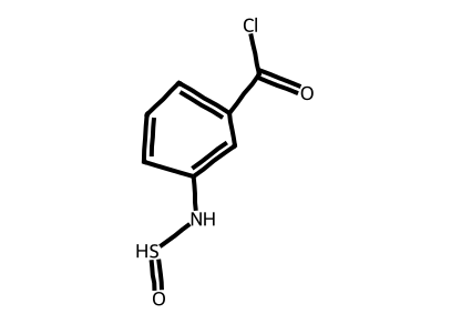 O=[SH]Nc1cccc(C(=O)Cl)c1